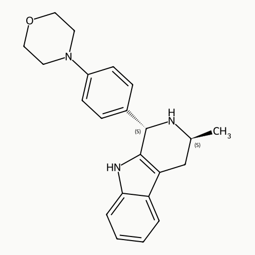 C[C@H]1Cc2c([nH]c3ccccc23)[C@H](c2ccc(N3CCOCC3)cc2)N1